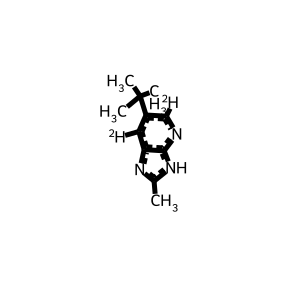 [2H]c1nc2[nH]c(C)nc2c([2H])c1C(C)(C)C